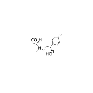 Cc1ccc(C(Cl)CCN(C)CCC(=O)O)cc1.Cl